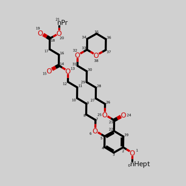 CCCCCCCOc1ccc(OCCCCCCOC(=O)CCC(=O)OCCC)c(C(=O)OCCCCCCOC2CCCCO2)c1